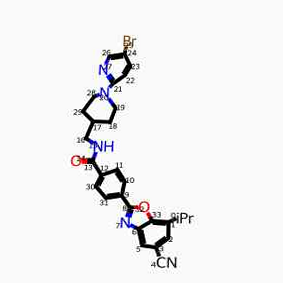 CC(C)c1cc(C#N)cc2nc(-c3ccc(C(=O)NCC4CCN(c5ccc(Br)cn5)CC4)cc3)oc12